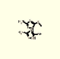 CSc1nc(N)n[nH]1.Nc1n[nH]c(S)n1